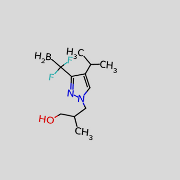 BC(F)(F)c1nn(CC(C)CO)cc1C(C)C